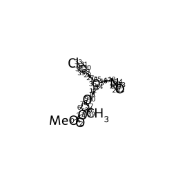 COC(=O)COc1ccc(OCC#Cc2cc(C#CCN3CCOCC3)cc(C#Cc3ccc(Cl)cc3)c2)cc1C